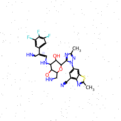 Cc1nc(C2OC3CNOC3C(N/C=C(\C=N)c3cc(F)c(F)c(F)c3)C2O)n(-c2cc(C#N)c3nc(C)sc3c2)n1